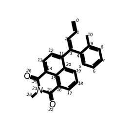 C=C/C=C(\c1ccccc1C)c1ccc2c3c(cccc13)C(=O)N(C)C2=O